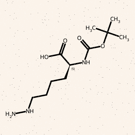 CC(C)(C)OC(=O)N[C@@H](CCCCNN)C(=O)O